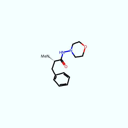 CN[C@@H](Cc1ccccc1)C(=O)NN1CCOCC1